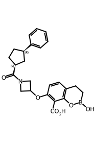 O=C(O)c1c(OC2CN(C(=O)[C@H]3CC[C@@H](c4ccccc4)C3)C2)ccc2c1OB(O)CC2